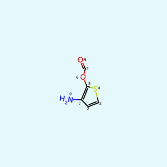 Nc1ccsc1OC=O